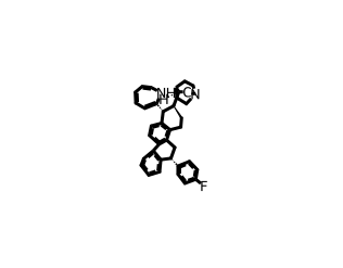 Fc1ccc([C@H]2Cc3c(ccc4c3CC[C@H]([C@@H]3CN5CCC3CC5)[C@H]4C3=CC=CC=CN3)-c3ccccc32)cc1